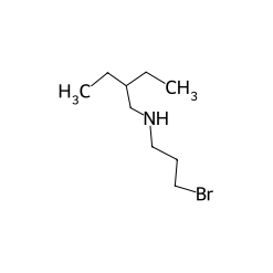 CCC(CC)CNCCCBr